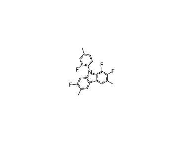 Cc1ccc(-n2c3cc(F)c(C)cc3c3cc(C)c(F)c(F)c32)c(F)c1